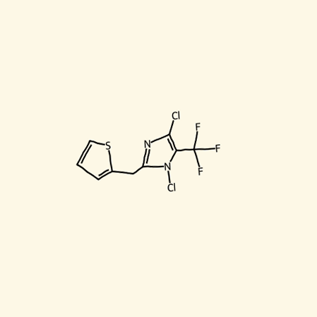 FC(F)(F)c1c(Cl)nc(Cc2cccs2)n1Cl